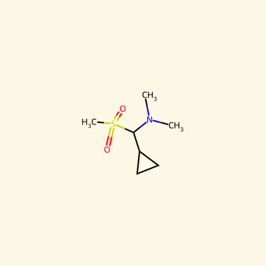 CN(C)C(C1CC1)S(C)(=O)=O